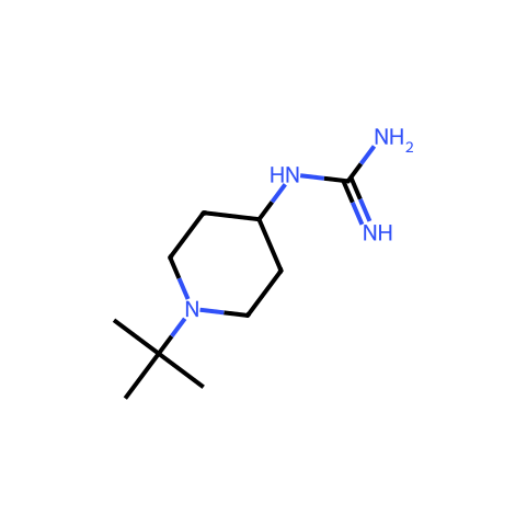 CC(C)(C)N1CCC(NC(=N)N)CC1